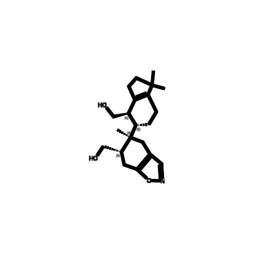 CC1(C)CCC2=C1CC[C@H]([C@@]1(C)Cc3cnoc3C[C@@H]1CO)[C@H]2CO